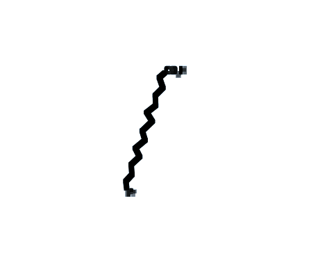 CC(C)CCCCCCCCCCCCCC(=O)O